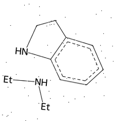 CCNCC.c1ccc2c(c1)CCN2